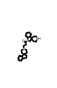 O=C(CCN1CCC2(CCc3ccccc32)CC1)N1CC2(CCNCC2)c2ccccc21